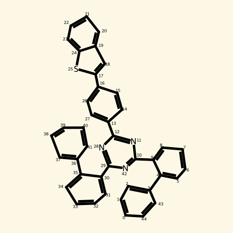 c1ccc(-c2ccccc2-c2nc(-c3ccc(-c4cc5ccccc5s4)cc3)nc(-c3ccccc3-c3ccccc3)n2)cc1